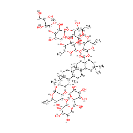 CCOC(OC1C(O)CO[C@H](OC2C(C)OC(OC3C(OC(=O)[C@@]45CCC6C(=CCC7[C@@]6(C)CCC6C(C)(C)[C@@H](OC8OC(C(=O)O)C(O)C(OC9OCC(O)C(O)C9O)C8OC8OC(CO)C(O)C(O)C8O)CC[C@@]67C)C4CC(C)(C)CC5)OC(C)C(OC(=O)[C@@H](C)CC)C3OC3OC(C)C(O)C(O)C3O)C(O)C2O)C1O)C(O)[C@@H](O)CO